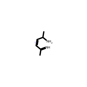 CC(=N)/C=C\C(C)N